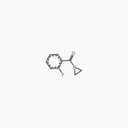 O=C(c1ccccc1F)N1CC1